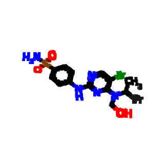 CC(C)C(C)N(CO)c1nc(Nc2ccc(S(N)(=O)=O)cc2)ncc1Br